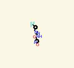 Cn1cc(C(=O)Nc2cn(Cc3cccc(C(F)(F)F)c3)cn2)ccc1=O